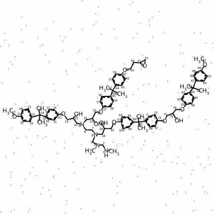 CNCN(C)CN(CCN(CC(O)COc1ccc(C(C)(C)c2ccc(OC)cc2)cc1)CC(O)COc1ccc(C(C)(C)c2ccc(OCCC3CO3)cc2)cc1)CC(O)COc1ccc(C(C)(C)c2ccc(OCC(O)COc3ccc(C(C)(C)c4ccc(OC)cc4)cc3)cc2)cc1